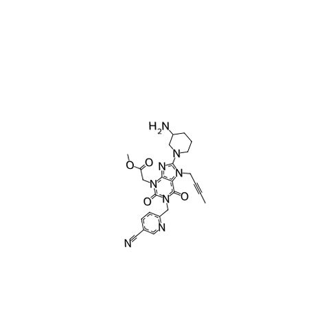 CC#CCn1c(N2CCCC(N)C2)nc2c1c(=O)n(Cc1ccc(C#N)cn1)c(=O)n2CC(=O)OC